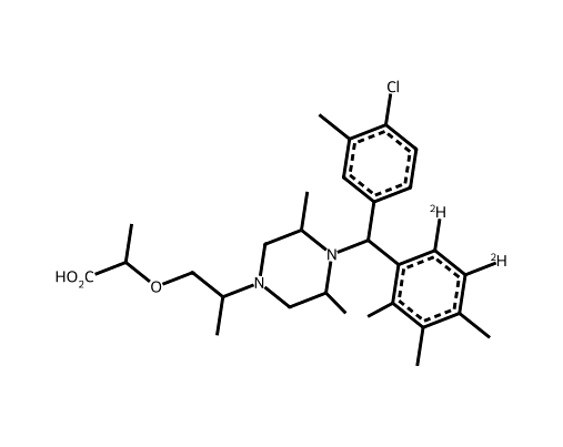 [2H]c1c([2H])c(C(c2ccc(Cl)c(C)c2)N2C(C)CN(C(C)COC(C)C(=O)O)CC2C)c(C)c(C)c1C